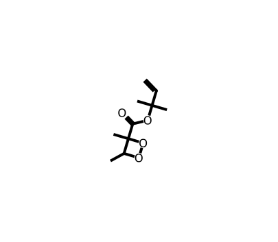 C=CC(C)(C)OC(=O)C1(C)OOC1C